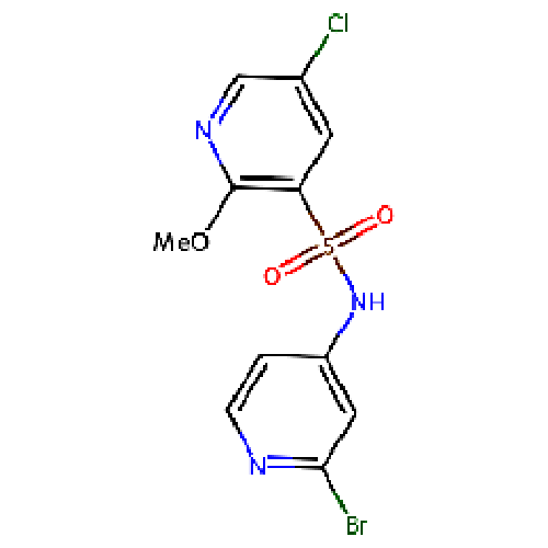 COc1ncc(Cl)cc1S(=O)(=O)Nc1ccnc(Br)c1